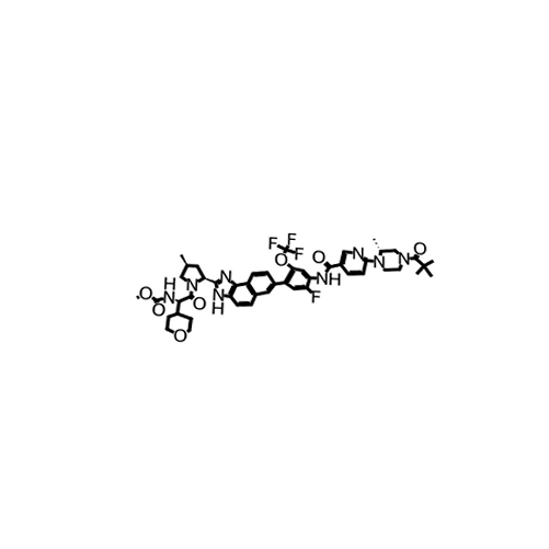 COC(=O)N[C@H](C(=O)N1C[C@@H](C)C[C@H]1c1nc2c(ccc3cc(-c4cc(F)c(NC(=O)c5ccc(N6CCN(C(=O)C(C)(C)C)C[C@H]6C)nc5)cc4OC(F)(F)F)ccc32)[nH]1)C1CCOCC1